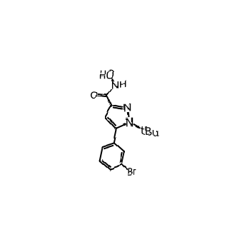 CC(C)(C)n1nc(C(=O)NO)cc1-c1cccc(Br)c1